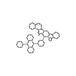 c1ccc(-c2c3ccccc3c(-c3cccc(-c4c5oc6ccccc6c5cc5c4sc4c6ccccc6ccc54)c3)c3ccccc23)cc1